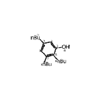 CCCCc1cc(O)c(CCCC)c(CCCC)c1